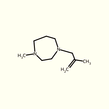 C=C(C)CN1CCCN(C)CC1